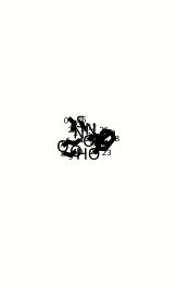 Cc1cn(CC2COCCO2)c(=NC(=O)C23CC4CC(CC(O)(C4)C2)C3)s1